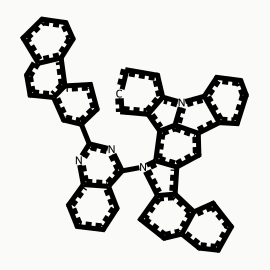 c1ccc2c(c1)ccc1cc(-c3nc(-n4c5ccc6ccccc6c5c5cc6c7ccccc7n7c8ccccc8c(c54)c67)c4ccccc4n3)ccc12